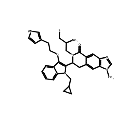 Cn1cnc2cc3c(cc21)CC(c1c(OCCc2cc[nH]c2)c2ccccc2n1CC1CC1)N(CC(N)CF)C3=O